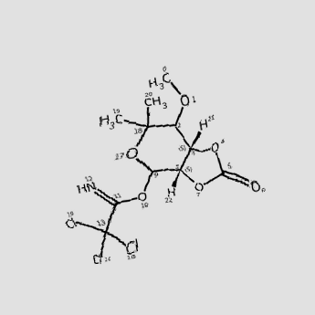 COC1[C@@H]2OC(=O)O[C@@H]2C(OC(=N)C(Cl)(Cl)Cl)OC1(C)C